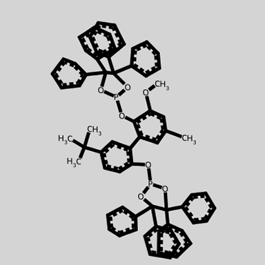 COc1cc(C)cc(-c2cc(C(C)(C)C)ccc2OP2OC(c3ccccc3)(c3ccccc3)C(c3ccccc3)(c3ccccc3)O2)c1OP1OC(c2ccccc2)(c2ccccc2)C(c2ccccc2)(c2ccccc2)O1